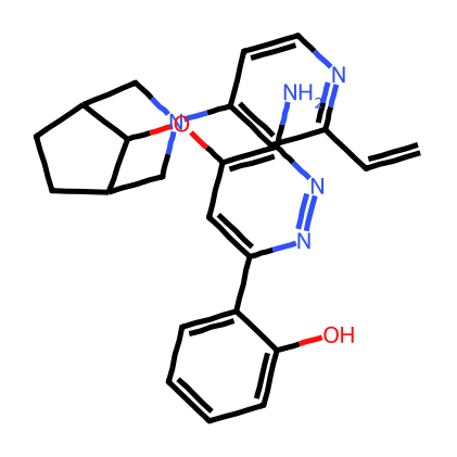 C=Cc1cc(N2CC3CCC(C2)C3Oc2cc(-c3ccccc3O)nnc2N)ccn1